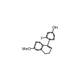 COc1ccc2c(c1)CCC=C2c1ccc(O)cc1F